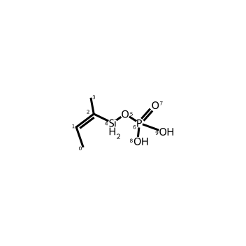 CC=C(C)[SiH2]OP(=O)(O)O